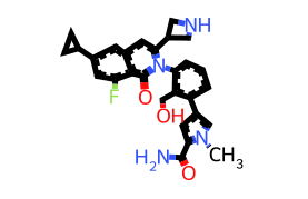 Cn1cc(-c2cccc(-n3c(C4CNC4)cc4cc(C5CC5)cc(F)c4c3=O)c2CO)cc1C(N)=O